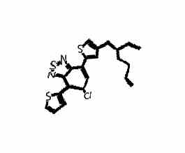 CCCCC(CC)Cc1csc(-c2cc(Cl)c(-c3cccs3)c3nsnc23)c1